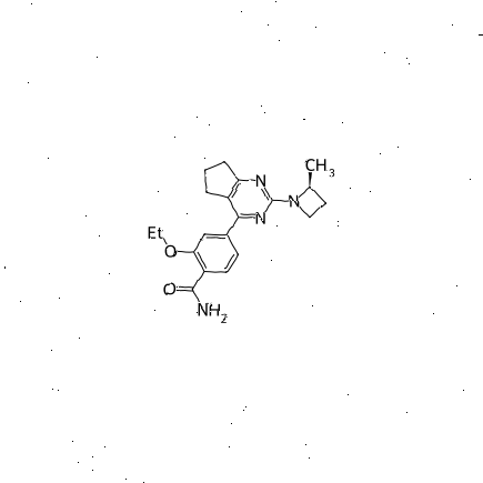 CCOc1cc(-c2nc(N3CC[C@@H]3C)nc3c2CCC3)ccc1C(N)=O